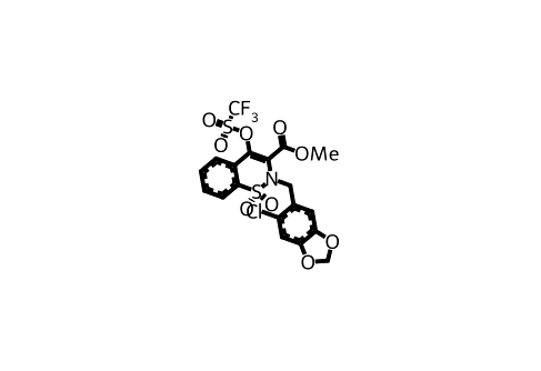 COC(=O)C1=C(OS(=O)(=O)C(F)(F)F)c2ccccc2S(=O)(=O)N1Cc1cc2c(cc1Cl)OCO2